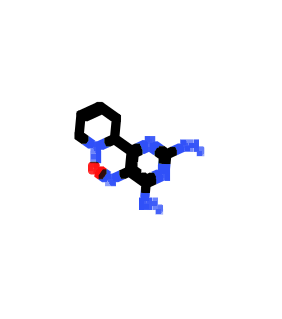 Nc1nc(N)c(N=O)c(C2CC=CCN2)n1